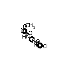 COc1cc(C(=O)NC2CCN(c3nc4ccc(Cl)cc4o3)CC2)ccn1